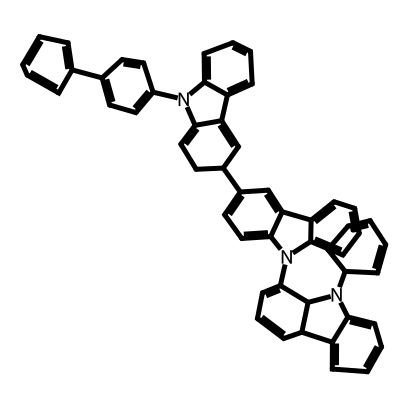 C1=CCC(N2c3ccccc3C3C=CC=C(n4c5ccccc5c5cc(C6C=c7c(n(-c8ccc(-c9ccccc9)cc8)c8ccccc78)=CC6)ccc54)C32)C=C1